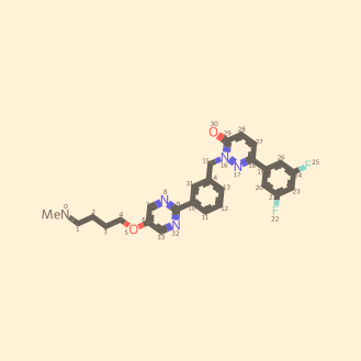 CNCCCCOc1cnc(-c2cccc(Cn3nc(-c4cc(F)cc(F)c4)ccc3=O)c2)nc1